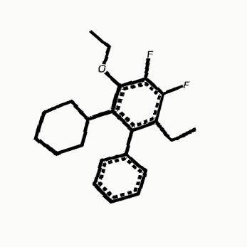 CCOc1c(F)c(F)c(CC)c(-c2ccccc2)c1C1CCCCC1